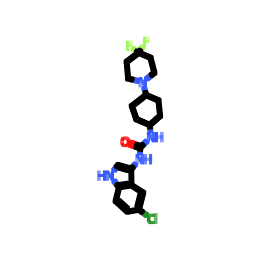 O=C(Nc1c[nH]c2ccc(Cl)cc12)NC1CCC(N2CCC(F)(F)CC2)CC1